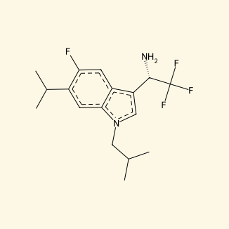 CC(C)Cn1cc([C@H](N)C(F)(F)F)c2cc(F)c(C(C)C)cc21